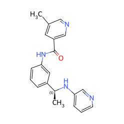 Cc1cncc(C(=O)Nc2cccc([C@H](C)Nc3cccnc3)c2)c1